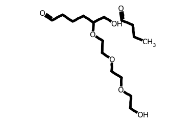 CCCC=O.O=CCCCC(CO)OCCOCCOCCO